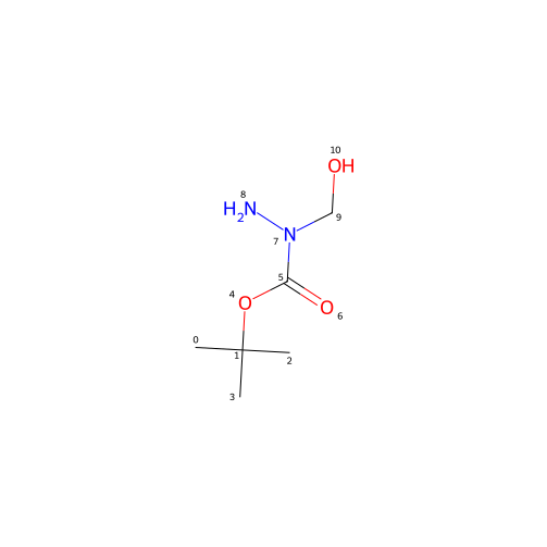 CC(C)(C)OC(=O)N(N)CO